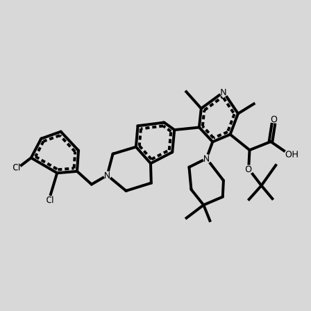 Cc1nc(C)c(C(OC(C)(C)C)C(=O)O)c(N2CCC(C)(C)CC2)c1-c1ccc2c(c1)CCN(Cc1cccc(Cl)c1Cl)C2